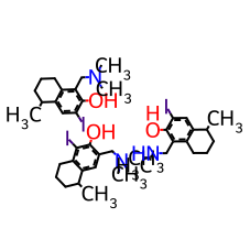 CC1CCCc2c1cc(CN(C)C)c(O)c2I.CC1CCCc2c1cc(I)c(O)c2CN(C)C.CNCc1c(O)c(I)cc2c1CCCC2C